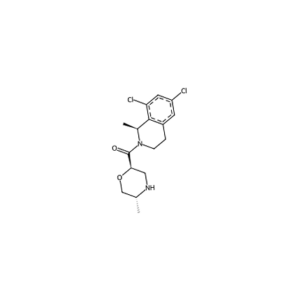 C[C@@H]1CO[C@@H](C(=O)N2CCc3cc(Cl)cc(Cl)c3[C@@H]2C)CN1